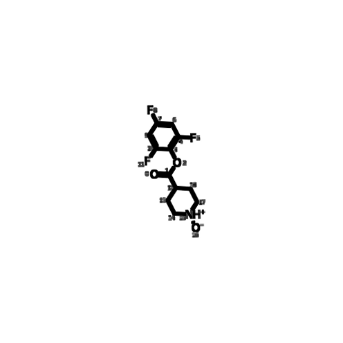 O=C(Oc1c(F)cc(F)cc1F)C1CC[NH+]([O-])CC1